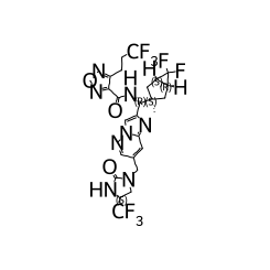 C[C@@]1([C@@H](NC(=O)c2nonc2CCC(F)(F)F)c2cn3ncc(CN4C[C@@H](C(F)(F)F)NC4=O)cc3n2)C[C@@H]2[C@H](C1)C2(F)F